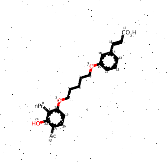 CCCc1c(OCCCCCOc2cccc(C=CC(=O)O)c2)ccc(C(C)=O)c1O